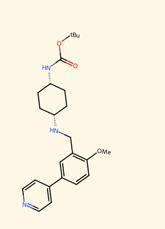 COc1ccc(-c2ccncc2)cc1CN[C@H]1CC[C@@H](NC(=O)OC(C)(C)C)CC1